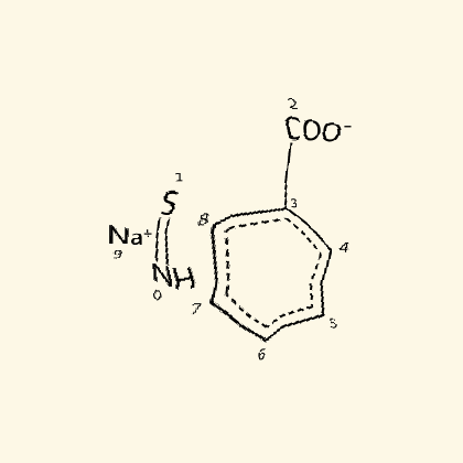 N=S.O=C([O-])c1ccccc1.[Na+]